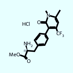 COC(=O)[C@@H](N)Cc1ccc(-c2c(C(F)(F)F)cc(C)n(C)c2=O)cc1.Cl